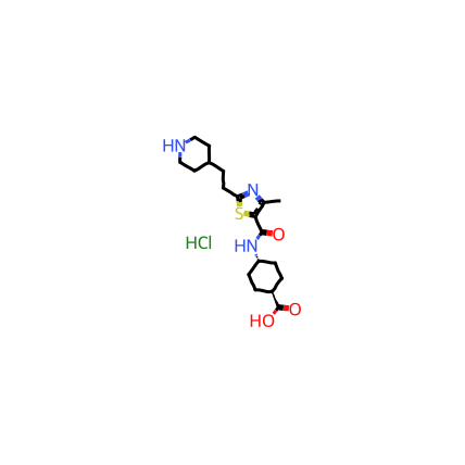 Cc1nc(CCC2CCNCC2)sc1C(=O)N[C@H]1CC[C@H](C(=O)O)CC1.Cl